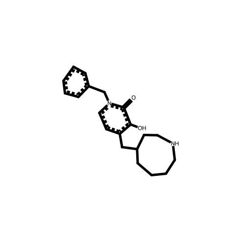 O=c1c(O)c(CC2CCCCNCC2)ccn1Cc1ccccc1